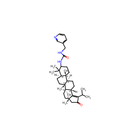 CC(C)C1=C2[C@H]3CC[C@@H]4[C@@]5(C)CCC(NC(=O)NCc6cccnc6)C(C)(C)[C@@H]5CC[C@@]4(C)[C@]3(C)CC[C@@]2(C)CC1=O